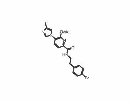 COc1nc(C(=O)NCCc2ccc(Br)cc2)ccc1-n1cnc(C)c1